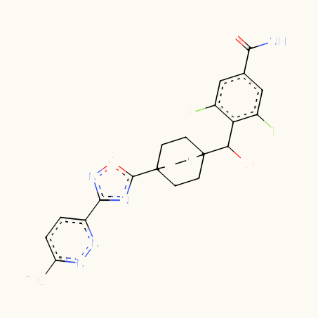 NC(=O)c1cc(F)c(C(O)C23CCC(c4nc(-c5ccc(C(F)(F)F)nn5)no4)(CC2)CC3)c(F)c1